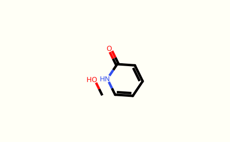 CO.O=c1cccc[nH]1